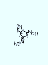 ON=C1CC(=NO)CC(=NO)C1